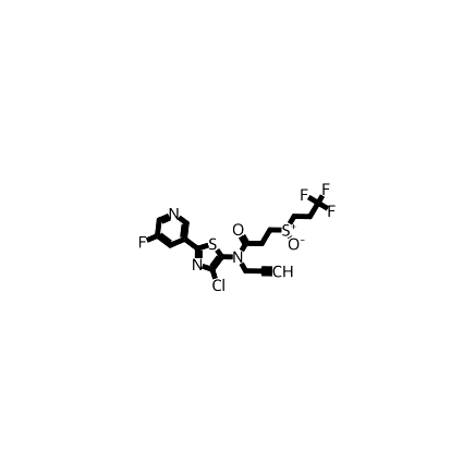 C#CCN(C(=O)CC[S+]([O-])CCC(F)(F)F)c1sc(-c2cncc(F)c2)nc1Cl